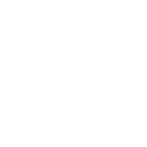 c1cc2ccc3cccc4c(C5C6C7CS756)cc(c1)c2c34